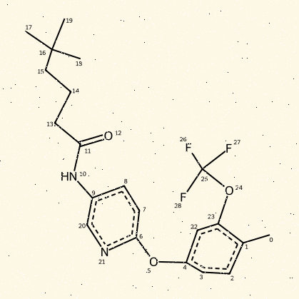 Cc1ccc(Oc2ccc(NC(=O)[CH]CCC(C)(C)C)cn2)cc1OC(F)(F)F